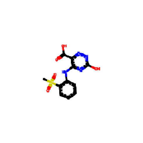 CS(=O)(=O)c1ccccc1Nc1nc(O)nnc1C(=O)O